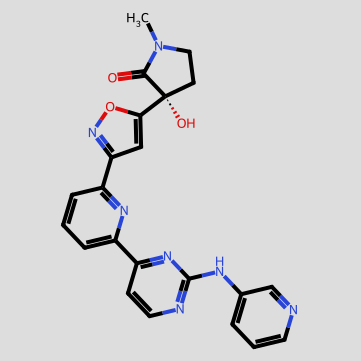 CN1CC[C@@](O)(c2cc(-c3cccc(-c4ccnc(Nc5cccnc5)n4)n3)no2)C1=O